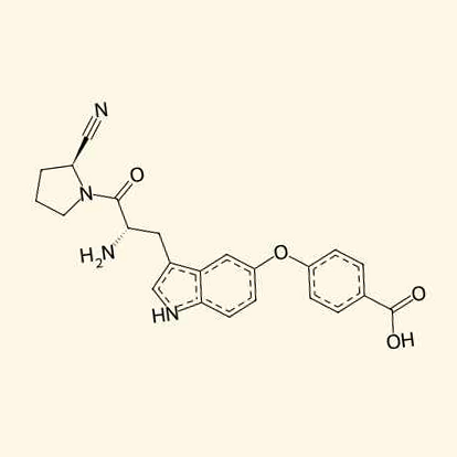 N#C[C@@H]1CCCN1C(=O)[C@@H](N)Cc1c[nH]c2ccc(Oc3ccc(C(=O)O)cc3)cc12